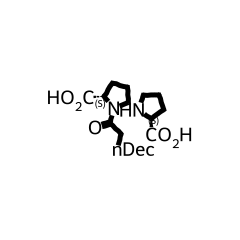 CCCCCCCCCCCC(=O)N1CCC[C@H]1C(=O)O.O=C(O)[C@@H]1CCCN1